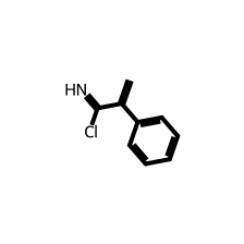 C=C(C(=N)Cl)c1ccccc1